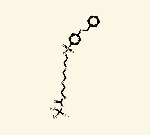 CC(C)(C)OC(=O)NCCOCCOCCNS(=O)(=O)c1ccc(OCc2ccccc2)cc1